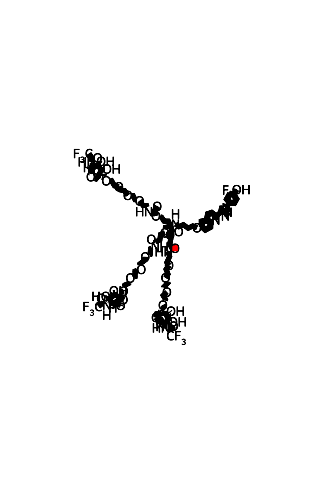 O=C(CCOCC(CCCOC(=O)NCCOCCOCCOCCOC[C@@]12CO[C@@H](O1)[C@H](NC(=O)C(F)(F)F)[C@@H](O)[C@H]2O)(COCCC(=O)NCCOCCOCCOCCOC[C@@]12OO[C@@H](O1)[C@H](NC(=O)C(F)(F)F)[C@@H](O)[C@H]2O)NC(=O)CCCOc1ccc2nc(-c3cn(-c4ccc(O)c(F)c4)nn3)ccc2c1)NCCOCCOCCOCCOC[C@@]12CO[C@@H](O1)[C@H](NC(=O)C(F)(F)F)[C@@H](O)[C@H]2O